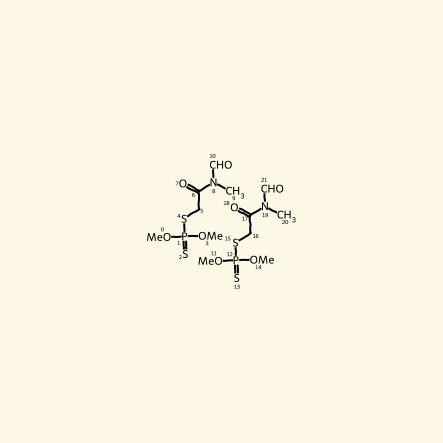 COP(=S)(OC)SCC(=O)N(C)C=O.COP(=S)(OC)SCC(=O)N(C)C=O